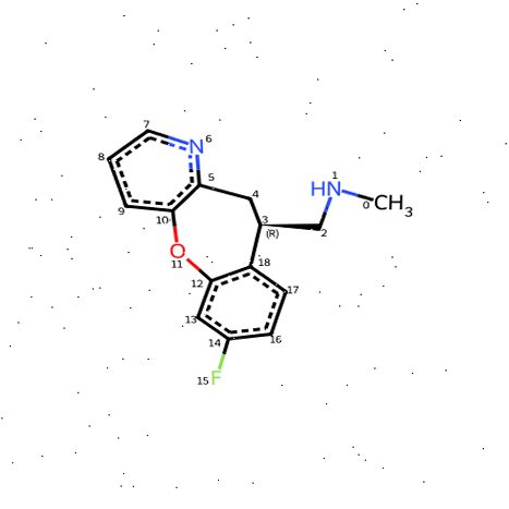 CNC[C@@H]1Cc2ncccc2Oc2cc(F)ccc21